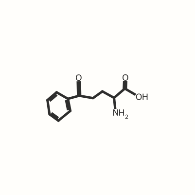 NC(CCC(=O)c1ccccc1)C(=O)O